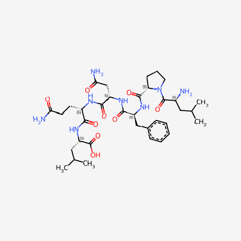 CC(C)C[C@H](NC(=O)[C@H](CCC(N)=O)NC(=O)[C@H](CC(N)=O)NC(=O)[C@H](Cc1ccccc1)NC(=O)[C@@H]1CCCN1C(=O)[C@@H](N)CC(C)C)C(=O)O